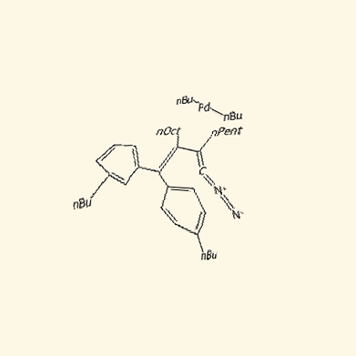 CCCCCCCCC(C(=C=[N+]=[N-])CCCCC)=C(c1ccc(CCCC)cc1)c1cccc(CCCC)c1.CCC[CH2][Pd][CH2]CCC